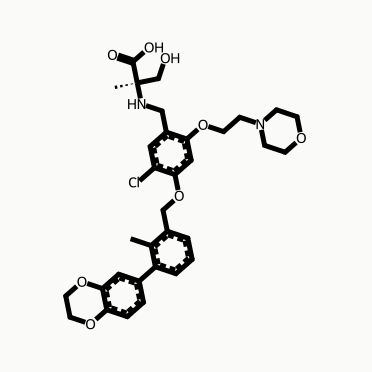 Cc1c(COc2cc(OCCN3CCOCC3)c(CN[C@](C)(CO)C(=O)O)cc2Cl)cccc1-c1ccc2c(c1)OCCO2